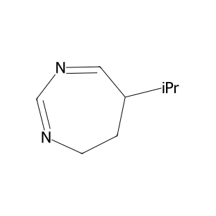 CC(C)C1C=NC=NCC1